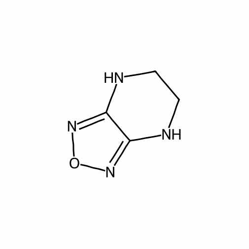 C1CNc2nonc2N1